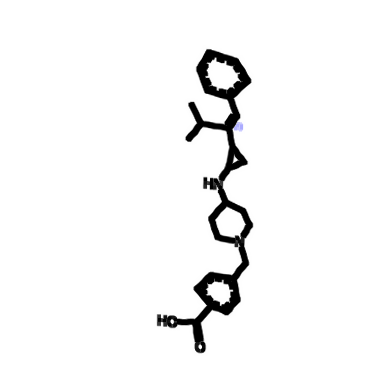 CC(C)/C(=C\c1ccccc1)C1CC1NC1CCN(Cc2ccc(C(=O)O)cc2)CC1